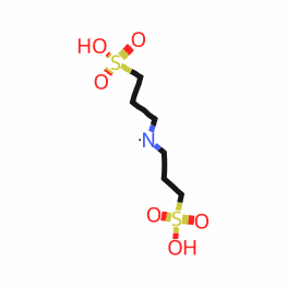 O=S(=O)(O)CCC[N]CCCS(=O)(=O)O